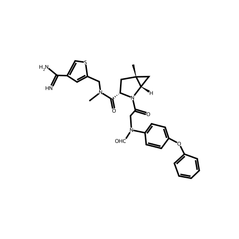 CN(Cc1cc(C(=N)N)cs1)C(=O)[C@@H]1C[C@]2(C)C[C@@H]2N1C(=O)CN(C=O)c1ccc(Oc2ccccc2)cc1